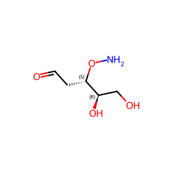 NO[C@@H](CC=O)[C@H](O)CO